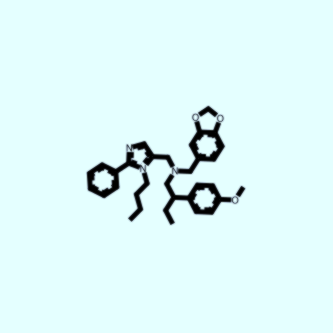 CCCCn1c(CN(Cc2ccc3c(c2)OCO3)CC(CC)c2ccc(OC)cc2)cnc1-c1ccccc1